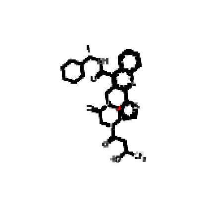 C[C@H](NC(=O)c1c(CN2CCN(C(=O)CC(O)C(F)(F)F)CC2=O)c(-c2cccs2)nc2ccccc12)C1CCCCC1